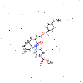 COc1ccc(COCCC2Cc3ncc(Cl)cc3N(C3CCN(C(=O)OC(C)(C)C)CC3)C2=O)cc1